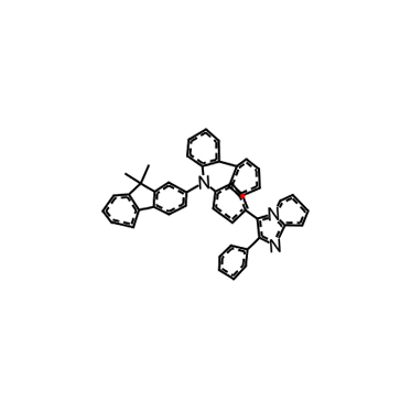 CC1(C)c2ccccc2-c2ccc(N(c3ccc(-c4c(-c5ccccc5)nc5ccccn45)cc3)c3ccccc3-c3ccccc3)cc21